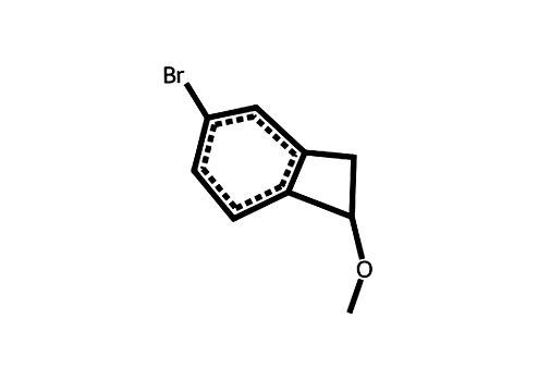 COC1Cc2cc(Br)ccc21